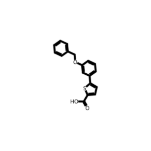 O=C(O)c1ccc(-c2cccc(OCc3ccccc3)c2)s1